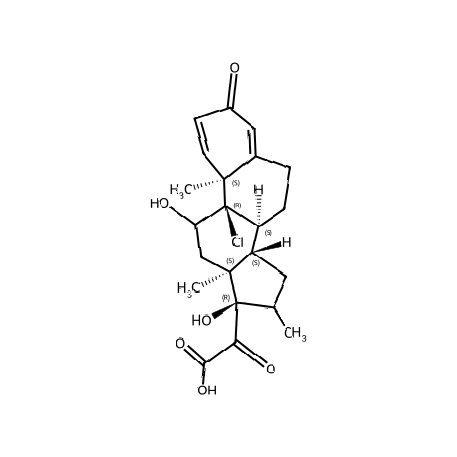 CC1C[C@H]2[C@@H]3CCC4=CC(=O)C=C[C@]4(C)[C@@]3(Cl)C(O)C[C@]2(C)[C@@]1(O)C(=O)C(=O)O